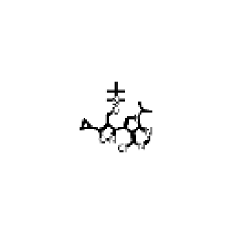 CC(C)n1cc(-c2noc(C3CC3)c2CO[Si](C)(C)C(C)(C)C)c2c(Cl)ncnc21